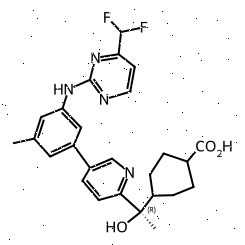 Cc1cc(Nc2nccc(C(F)F)n2)cc(-c2ccc([C@](C)(O)C3CCC(C(=O)O)CC3)nc2)c1